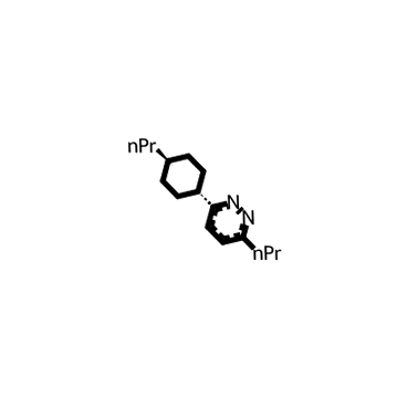 CCCc1ccc([C@H]2CC[C@H](CCC)CC2)nn1